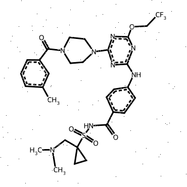 Cc1cccc(C(=O)N2CCN(c3nc(Nc4ccc(C(=O)NS(=O)(=O)C5(CN(C)C)CC5)cc4)nc(OCC(F)(F)F)n3)CC2)c1